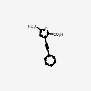 O=C(O)c1cc(C#Cc2ccccc2)c(C(=O)O)o1